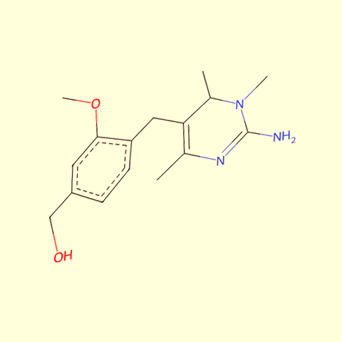 COc1cc(CO)ccc1CC1=C(C)N=C(N)N(C)C1C